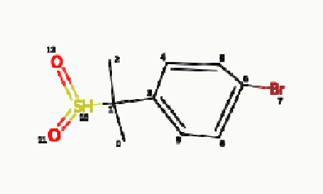 CC(C)(c1ccc(Br)cc1)[SH](=O)=O